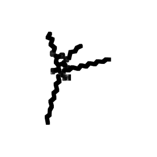 CCCCCCCCCCCC[N+](S)(CCCCCCCCCCCC)C(=S)C(CC(=O)OCCCCC)C(=O)OCCCCC